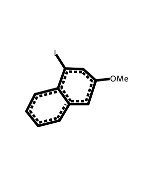 COc1cc(I)c2ccccc2c1